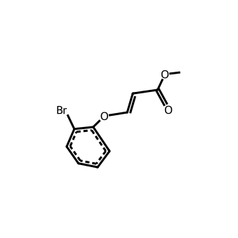 COC(=O)C=COc1ccccc1Br